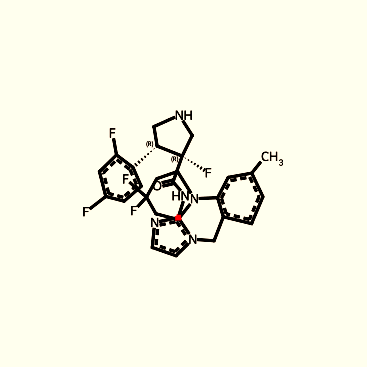 Cc1ccc(Cn2ccnc2NC(=O)[C@]2(F)CNC[C@H]2c2ccc(F)cc2F)c(N2CCC(F)(F)CC2)c1